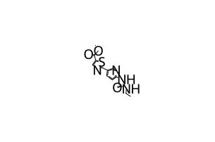 CCNC(=O)Nc1ccc(-c2ncc(C(=O)OC)s2)cn1